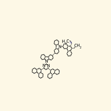 C=Cc1c(/C=C\C)c2ccc(-n3c4ccccc4c4cc(-c5ccc6c(c5)c5ccccc5n6-c5nc(-c6cc7ccccc7c7ccccc67)cc(-c6cc7ccccc7c7ccccc67)n5)ccc43)cc2c2ccccc12